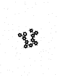 C1=Cc2c(n(-c3ccccc3)c3ccc(-c4ccc5c(c4)c4ccccc4n5-c4cccc(-n5c6ccccc6c6cc(-c7ccc8c(c7)c7ccccc7n8-c7ccccc7)ccc65)c4)cc23)CC1